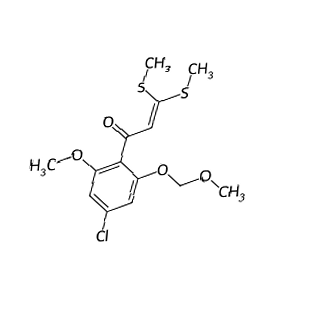 COCOc1cc(Cl)cc(OC)c1C(=O)C=C(SC)SC